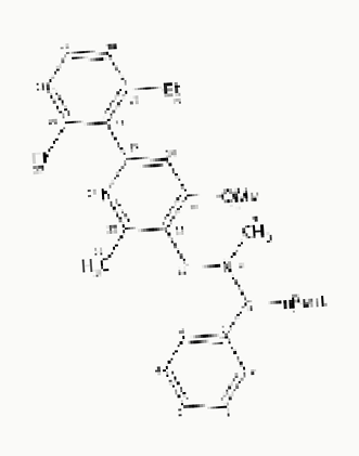 CCCCCC(c1ccccc1)N(C)Cc1c(OC)cc(-c2c(CC)cccc2CC)nc1C